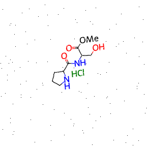 COC(=O)C(CO)NC(=O)C1CCCN1.Cl